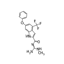 CNC(N)=NC(=O)c1cc2c(C(F)(F)F)cc(Oc3ccccc3)cc2[nH]1